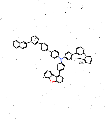 CC1(C)c2ccccc2-c2cccc(-c3ccc(N(c4ccc(-c5ccc(-c6cccc(-c7ccc8ccccc8c7)c6)cc5)cc4)c4ccc(-c5cccc6oc7ccccc7c56)cc4)cc3)c21